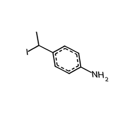 CC(I)c1ccc(N)cc1